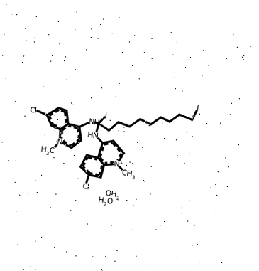 C[n+]1ccc(NC(I)(CCCCCCCCCI)Nc2cc[n+](C)c3cc(Cl)ccc23)c2ccc(Cl)cc21.O.O